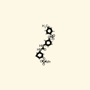 CCCS(=O)(=O)Oc1cccc(NC(=O)Nc2cccc(OS(=O)(=O)c3ccc(C)cc3)c2)c1